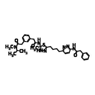 CC(C)N(C)C(=O)Cc1cccc(CC(=O)NC2(C)NN=C(CCCCc3ccc(NC(=O)Cc4ccccc4)nn3)S2)c1